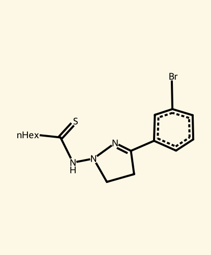 CCCCCCC(=S)NN1CCC(c2cccc(Br)c2)=N1